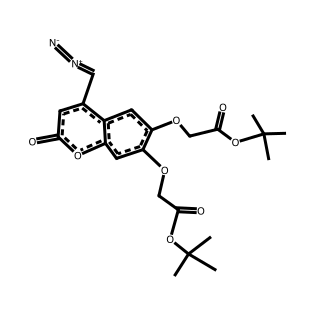 CC(C)(C)OC(=O)COc1cc2oc(=O)cc(C=[N+]=[N-])c2cc1OCC(=O)OC(C)(C)C